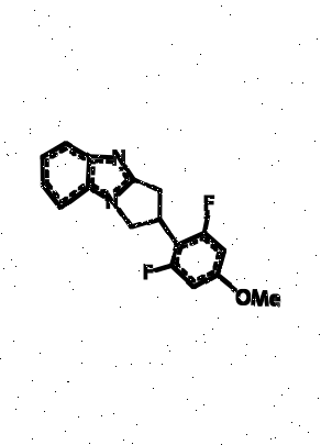 COc1cc(F)c(C2Cc3nc4ccccc4n3C2)c(F)c1